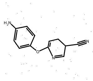 N#CC1C=NC(Oc2ccc(N)cc2)=CC1